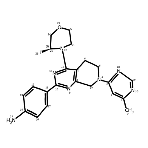 Cc1cc(N2CCc3c(nc(-c4ccc(N)cc4)nc3N3CCOC[C@@H]3I)C2)ncn1